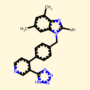 CCCc1nc2c(C)cc(C)cc2n1Cc1ccc(-c2ccncc2-c2nnn[nH]2)cc1